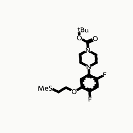 CSCCOc1cc(N2CCN(C(=O)OC(C)(C)C)CC2)c(F)cc1F